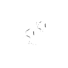 Cc1ccc(-c2ncccn2)cc1[N+](=O)[O-]